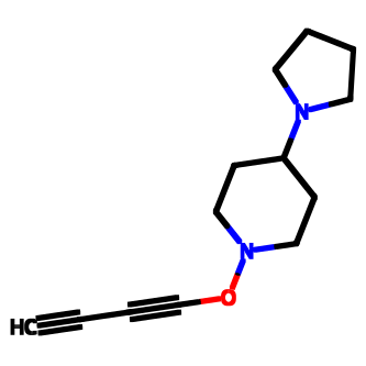 C#CC#CON1CCC(N2CCCC2)CC1